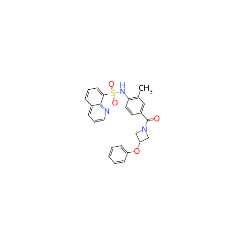 Cc1cc(C(=O)N2CC(Oc3ccccc3)C2)ccc1NS(=O)(=O)c1cccc2cccnc12